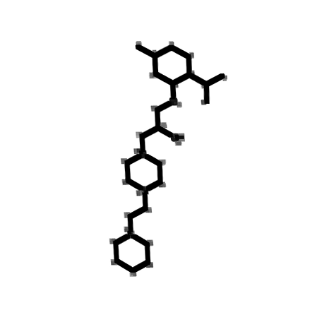 CC1CCC(C(C)C)C(OCC(O)CN2CCN(CCN3CCCCC3)CC2)C1